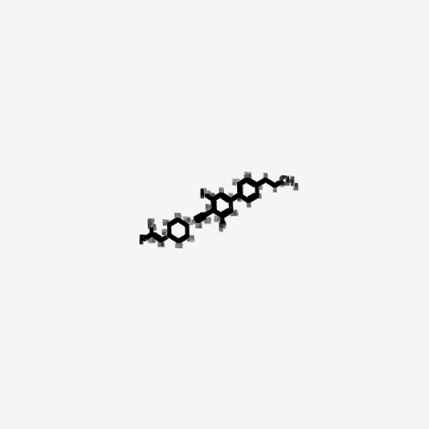 CCCc1ccc(-c2cc(F)c(C#C[C@H]3CC[C@H](C=C(F)F)CC3)c(F)c2)cc1